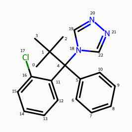 CC(C)(C)C(c1ccccc1)(c1ccccc1Cl)n1cnnc1